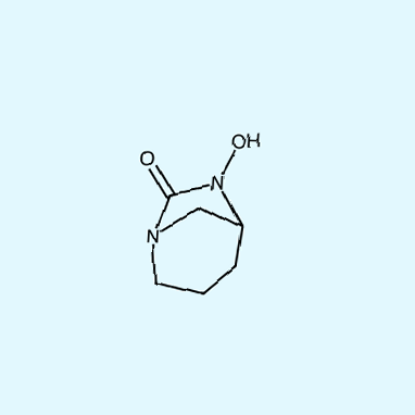 O=C1N2CCCC(C2)N1O